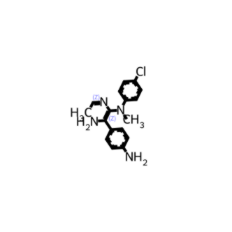 C/C=N\C(=C(/N)c1ccc(N)cc1)N(C)c1ccc(Cl)cc1